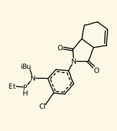 CCPN(c1cc(N2C(=O)C3C=CCCC3C2=O)ccc1Cl)C(C)CC